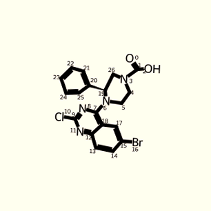 O=C(O)N1CCN(c2nc(Cl)nc3ccc(Br)cc23)[C@@H](c2ccccc2)C1